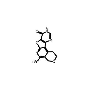 CCCc1nc2sc3c(=O)[nH]cnc3c2c2c1COCC2